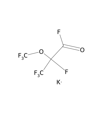 O=C(F)C(F)(OC(F)(F)F)C(F)(F)F.[K]